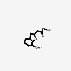 CCCNC(=O)Cc1cc2cccc(OC)c2o1